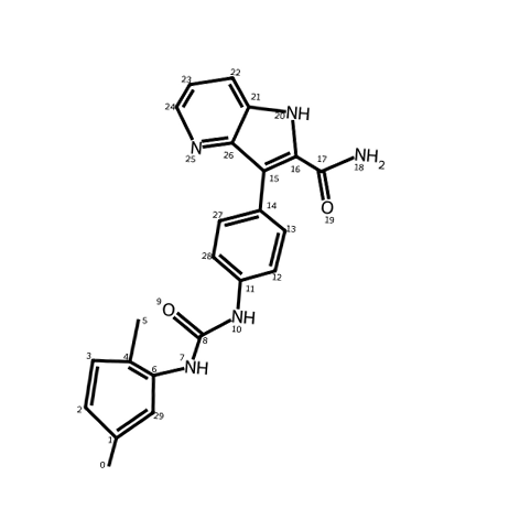 Cc1ccc(C)c(NC(=O)Nc2ccc(-c3c(C(N)=O)[nH]c4cccnc34)cc2)c1